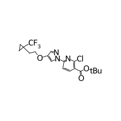 CC(C)(C)OC(=O)c1ccc(-n2cc(OCCC3(C(F)(F)F)CC3)cn2)nc1Cl